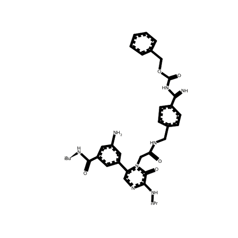 CCCNc1ncc(-c2cc(N)cc(C(=O)N[C@H](C)CC)c2)n(CC(=O)NCc2ccc(C(=N)NC(=O)OCc3ccccc3)cc2)c1=O